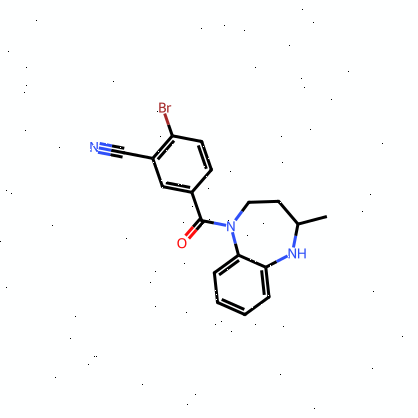 CC1CCN(C(=O)c2ccc(Br)c(C#N)c2)c2ccccc2N1